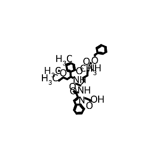 CCCCC(NC(=O)[C@@H](CCCCNC(=O)OCc1ccccc1)NC(=O)c1cc2ccccc2n1CC(=O)O)c1c(OC)cc(C)cc1OC